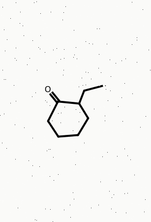 [CH2]CC1CCCCC1=O